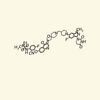 CCN(C)S(=O)(=O)Nc1ccc(F)c(Oc2ccc3ncn([C@H]4COC5(CCN(CC6CCN(c7cc8c(cc7F)c(N7CCC(=O)NC7=O)nn8C)CC6)CC5)C4)c(=O)c3c2)c1C#N